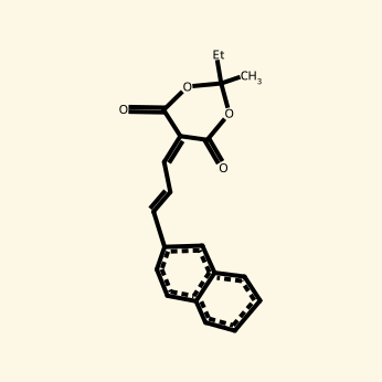 CCC1(C)OC(=O)C(=CC=Cc2ccc3ccccc3c2)C(=O)O1